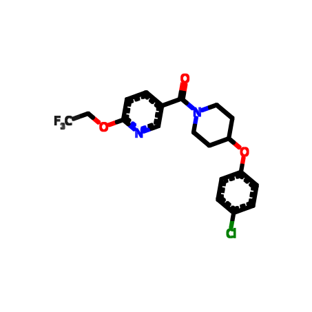 O=C(c1ccc(OCC(F)(F)F)nc1)N1CCC(Oc2ccc(Cl)cc2)CC1